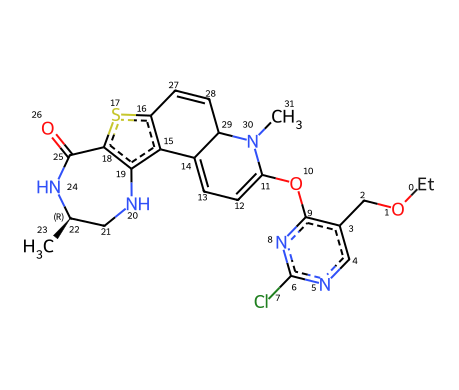 CCOCc1cnc(Cl)nc1OC1=CC=C2c3c(sc4c3NC[C@@H](C)NC4=O)C=CC2N1C